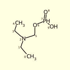 CCN(CC)CO[PH](=O)O